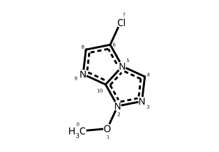 COn1ncn2c(Cl)cnc12